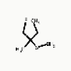 BSC(C)(CC)CF